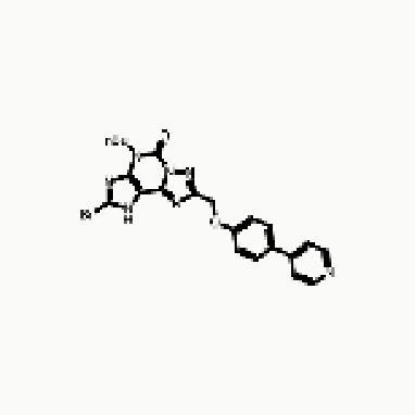 CCCCn1c(=O)n2nc(COc3ccc(-c4ccncc4)cc3)nc2c2[nH]c(Br)nc21